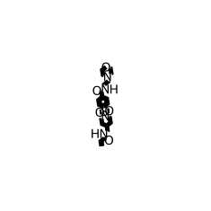 C=CC(=O)NCC1CCN(S(=O)(=O)c2ccc(C(=O)NCCN3CCOCC3)cc2)CC1